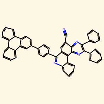 N#Cc1cc2c(-c3ccc(-c4ccc5c6ccccc6c6ccccc6c5c4)cc3)nc3ccccc3c2c2nc(-c3ccccc3)c(-c3ccccc3)nc12